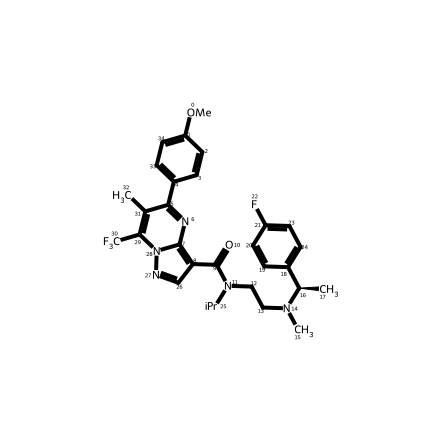 COc1ccc(-c2nc3c(C(=O)N(CCN(C)[C@H](C)c4ccc(F)cc4)C(C)C)cnn3c(C(F)(F)F)c2C)cc1